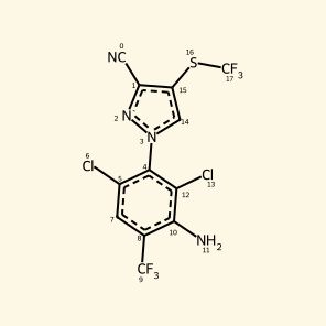 N#Cc1nn(-c2c(Cl)cc(C(F)(F)F)c(N)c2Cl)cc1SC(F)(F)F